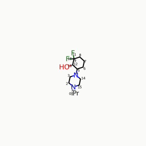 CC(C)N1CCN(C2CCCC(F)(F)[C@@H]2O)CC1